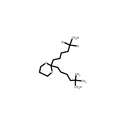 CCC(CC)(CCCCC1(CCCCC(C)(C)C(=O)O)SCCCS1)C(=O)O